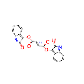 O=C(/C=C/C(=O)OC1=c2ccccc2=NC1=O)OC1=c2ccccc2=NC1=O